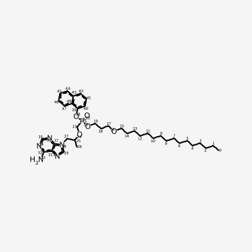 CCCCCCCCCCCCCCCCOCCCOP(=O)(COC(C)Cn1cnc2c(N)ncnc21)Oc1cccc2ccccc12